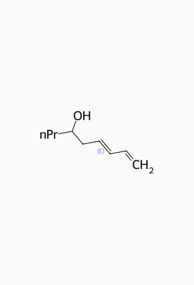 C=C/C=C/CC(O)CCC